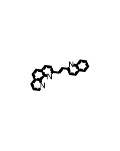 C(=C\c1ccc2ccc3cccnc3c2n1)/c1ccc2ccccc2n1